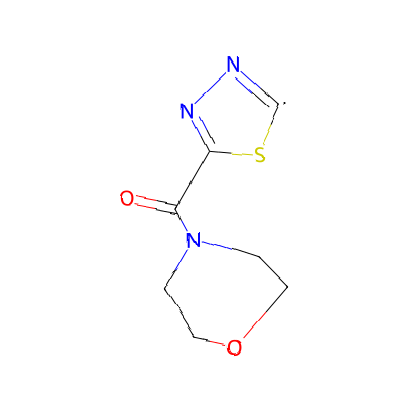 O=C(c1nn[c]s1)N1CCOCC1